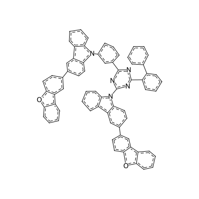 c1ccc(-c2ccccc2-c2nc(-c3cccc(-n4c5ccccc5c5cc(-c6ccc7oc8ccccc8c7c6)ccc54)c3)nc(-n3c4ccccc4c4cc(-c5ccc6oc7ccccc7c6c5)ccc43)n2)cc1